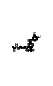 CC(=O)NOCCCNc1nc(Nc2ccc(Cl)c(Cl)c2)ncc1C(F)(F)F